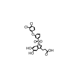 O=C(O)CCc1cn(S(=O)(=O)c2cccc(Oc3ccc(Cl)c(Cl)c3)c2)c2cc(O)c(O)cc12